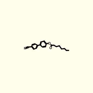 CCCCCCCC(=O)Oc1ccc(-c2ccc(C#N)cc2)cc1